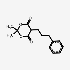 CC1(C)OC(=O)C(CCCc2ccccc2)C(=O)O1